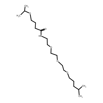 CC(C)CCCOCCOCCOCCNC(=O)CCCOC(C)C